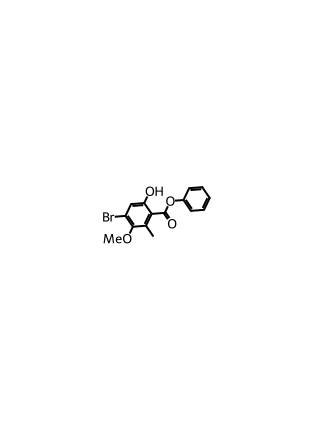 COc1c(Br)cc(O)c(C(=O)Oc2ccccc2)c1C